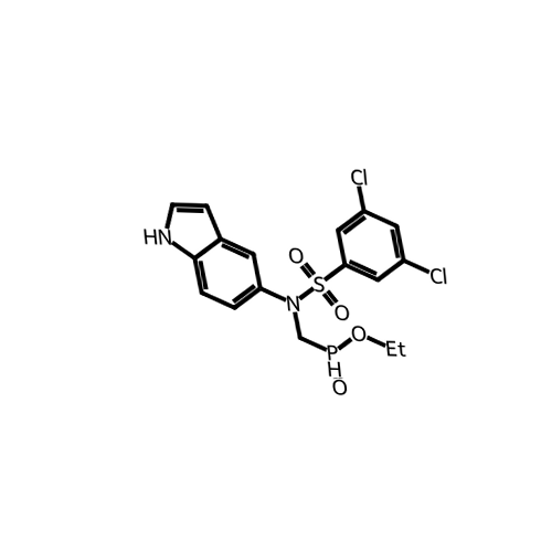 CCO[PH](=O)CN(c1ccc2[nH]ccc2c1)S(=O)(=O)c1cc(Cl)cc(Cl)c1